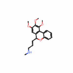 CNCCCC1Oc2ccccc2-c2c1cc(OC)c(OC)c2OC